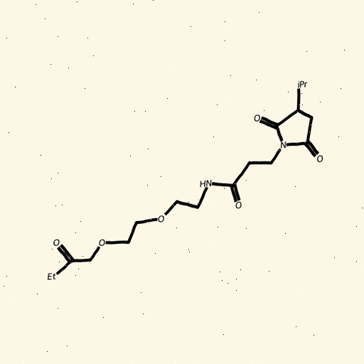 CCC(=O)COCCOCCNC(=O)CCN1C(=O)CC(C(C)C)C1=O